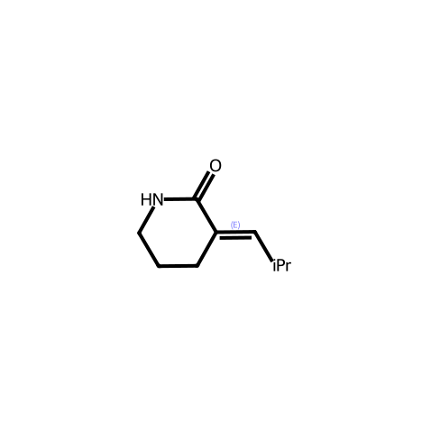 CC(C)/C=C1\CCCNC1=O